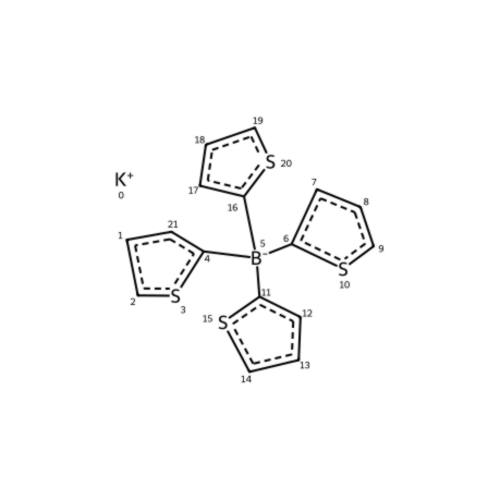 [K+].c1csc([B-](c2cccs2)(c2cccs2)c2cccs2)c1